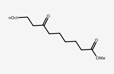 CCCCCCCCCCC(=O)CCCCCC(=O)OC